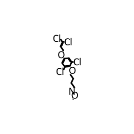 CON=CCCCOc1c(Cl)cc(OCC=C(Cl)Cl)cc1Cl